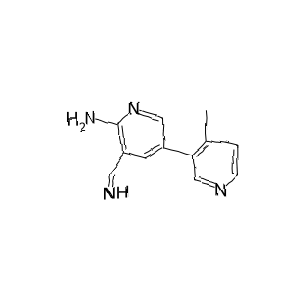 Cc1ccncc1-c1cnc(N)c(C=N)c1